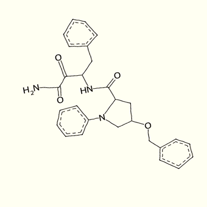 NC(=O)C(=O)C(Cc1ccccc1)NC(=O)C1CC(OCc2ccccc2)CN1c1ccccc1